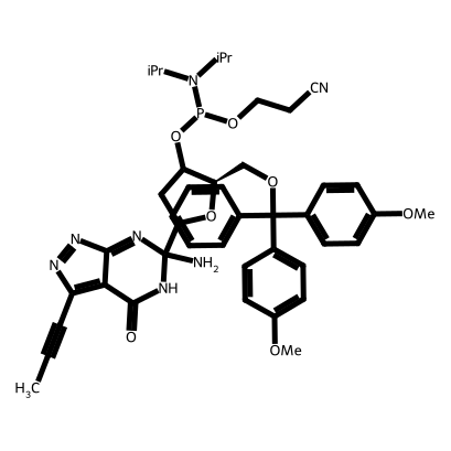 CC#CC1=C2C(=O)NC(N)(C3CC(OP(OCCC#N)N(C(C)C)C(C)C)[C@@H](COC(c4ccccc4)(c4ccc(OC)cc4)c4ccc(OC)cc4)O3)N=C2N=N1